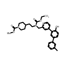 Cc1cccc(-c2ccc(O)c(-c3ccnc(CN(CCC4CCN(C(=O)OC(C)(C)C)CC4)C(=O)OCC(Cl)(Cl)Cl)c3)c2)c1